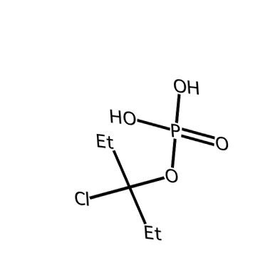 CCC(Cl)(CC)OP(=O)(O)O